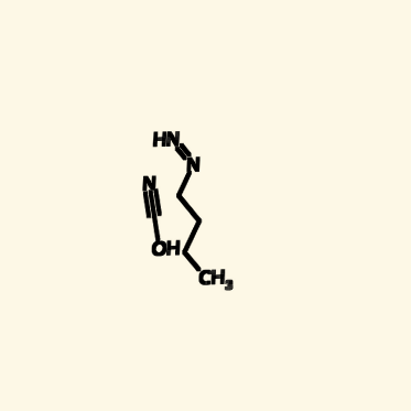 CCCCN=N.N#CO